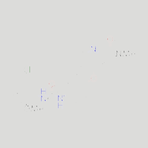 CNC(=O)c1cc(Oc2ccc(NC(=O)Nc3cc(Cl)ccc3OC)cc2)ccn1